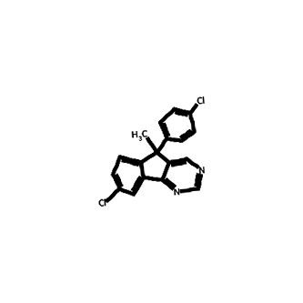 CC1(c2ccc(Cl)cc2)c2ccc(Cl)cc2-c2ncncc21